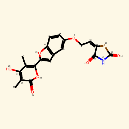 Cc1c(-c2cc3cc(OCC=C4SC(=O)NC4=O)ccc3o2)oc(=O)c(C)c1O